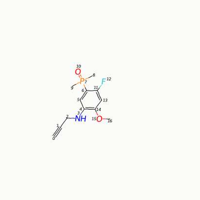 C#CCNc1cc(P(C)(C)=O)c(F)cc1OC